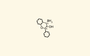 B[C@H]1c2ccccc2O[C@H](c2ccccc2)[C@H]1O